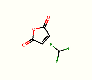 FB(F)F.O=C1C=CC(=O)O1